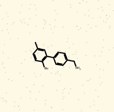 CCC(C)c1ccc(C)cc1-c1ccc(CN)cc1